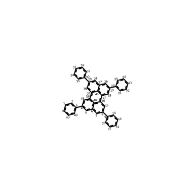 c1ccc(-c2cc3cc(-c4ccccc4)cc4c5cc(-c6ccccc6)cc6cc(-c7ccccc7)cc(c(c2)c34)c65)cc1